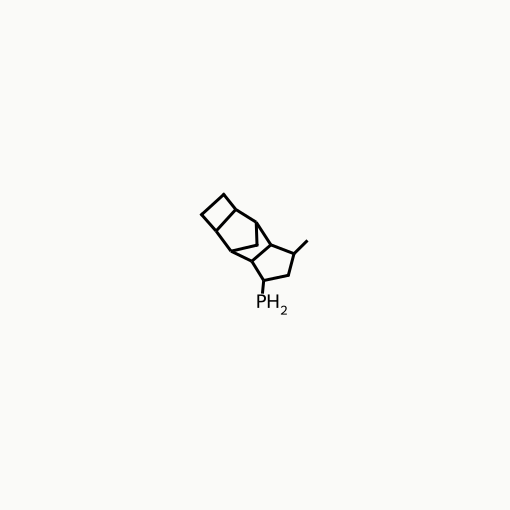 CC1CC(P)C2C3CC(C4CCC43)C12